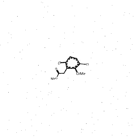 COC(=O)Cc1c(Cl)ccc(Cl)c1OC